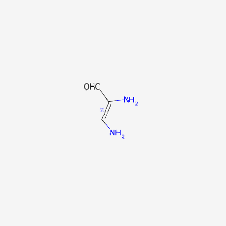 N/C=C(\N)C=O